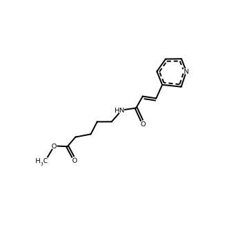 COC(=O)CCCCNC(=O)/C=C/c1cccnc1